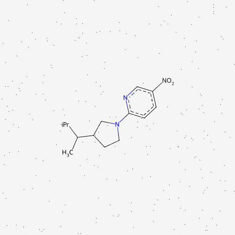 C[C](C)C(C)C1CCN(c2ccc([N+](=O)[O-])cn2)C1